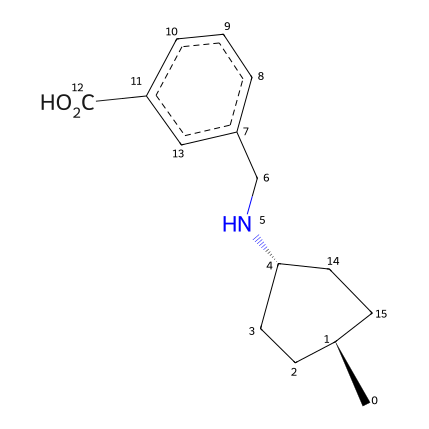 C[C@H]1CC[C@H](NCc2cccc(C(=O)O)c2)CC1